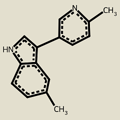 Cc1ccc2[nH]cc(-c3ccc(C)nc3)c2c1